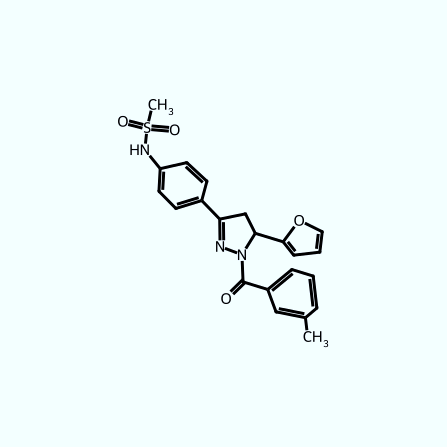 Cc1cccc(C(=O)N2N=C(c3ccc(NS(C)(=O)=O)cc3)CC2c2ccco2)c1